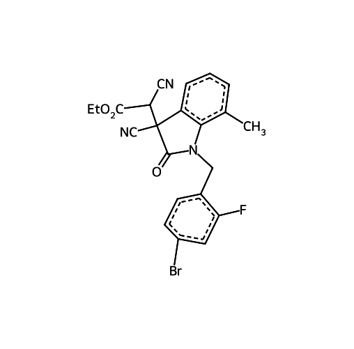 CCOC(=O)C(C#N)C1(C#N)C(=O)N(Cc2ccc(Br)cc2F)c2c(C)cccc21